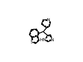 c1cc(C(c2ccncc2)c2cnc[nH]2)c2ccsc2c1